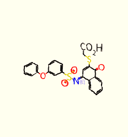 O=C(O)CSC1=C/C(=N\S(=O)(=O)c2cccc(Oc3ccccc3)c2)c2ccccc2C1=O